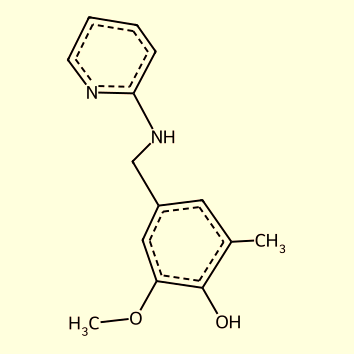 COc1cc(CNc2ccccn2)cc(C)c1O